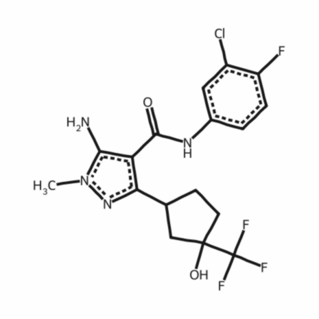 Cn1nc(C2CCC(O)(C(F)(F)F)C2)c(C(=O)Nc2ccc(F)c(Cl)c2)c1N